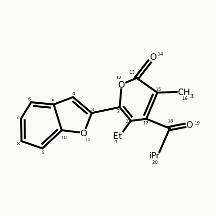 CCc1c(-c2cc3ccccc3o2)oc(=O)c(C)c1C(=O)C(C)C